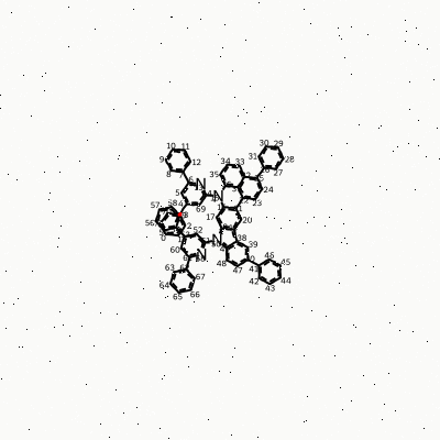 c1ccc(-c2cc(-c3ccccc3)nc(N3c4cc5c(cc4-c4ccc(-c6ccccc6)c6cccc3c46)c3cc(-c4ccccc4)ccc3n5-c3cc(-c4ccccc4)cc(-c4ccccc4)n3)c2)cc1